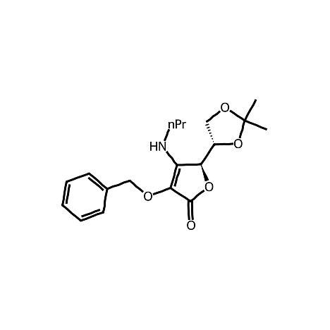 CCCNC1=C(OCc2ccccc2)C(=O)O[C@@H]1[C@@H]1COC(C)(C)O1